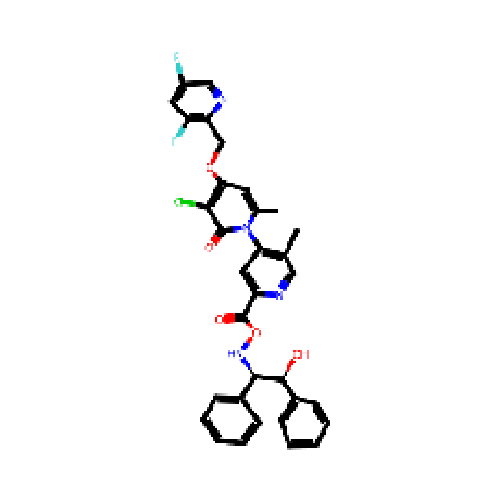 Cc1cnc(C(=O)ON[C@H](c2ccccc2)[C@@H](O)c2ccccc2)cc1-n1c(C)cc(OCc2ncc(F)cc2F)c(Cl)c1=O